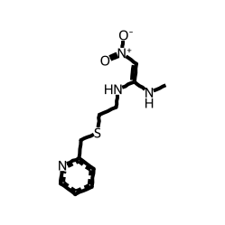 CN/C(=C/[N+](=O)[O-])NCCSCc1ccccn1